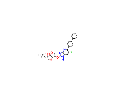 C=C[C@@]1(O)COC2C1OC[C@H]2Oc1nc2nc(-c3ccc(-c4ccccc4)cc3)c(Cl)cc2[nH]1